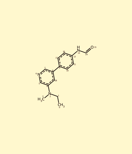 CCN(C)c1cncc(-c2ccc(NC=O)cc2)c1